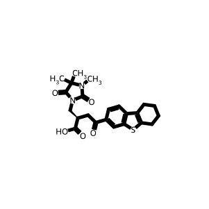 CN1C(=O)N(C[C@@H](CC(=O)c2ccc3c4c(sc3c2)CCCC4)C(=O)O)C(=O)C1(C)C